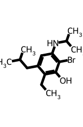 CCc1c(CC(C)C)cc(NC(C)C)c(Br)c1O